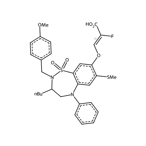 CCCCC1CN(c2ccccc2)c2cc(SC)c(O/C=C(\F)C(=O)O)cc2S(=O)(=O)N1Cc1ccc(OC)cc1